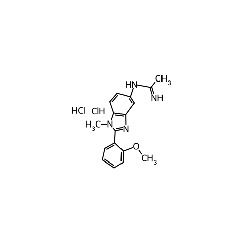 COc1ccccc1-c1nc2cc(NC(C)=N)ccc2n1C.Cl.Cl